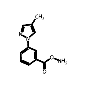 Cc1cnn(-c2cccc(C(=O)ON)c2)c1